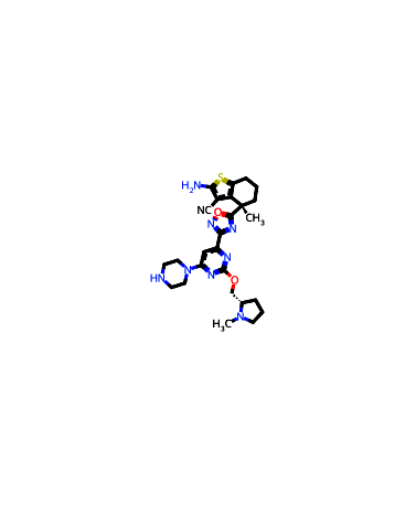 CN1CCC[C@H]1COc1nc(-c2noc([C@@]3(C)CCCc4sc(N)c(C#N)c43)n2)cc(N2CCNCC2)n1